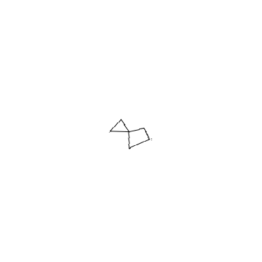 [C]1CC2(C1)CC2